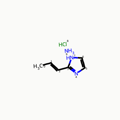 CC=Cc1ncc[nH]1.Cl.N